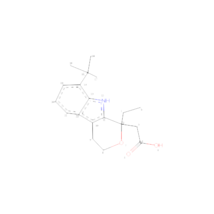 CCC1(CC(=O)O)OCCc2c1[nH]c1c(C(C)(C)C)cccc21